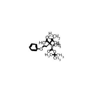 CN(C(=O)OC(C)(C)C)[C@](CCOc1ccccc1)(C(=O)O)C(C)(C)C